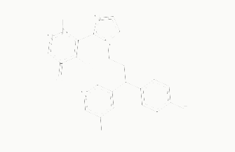 O=c1cn[nH]c(-c2nccn2CCC(c2ccc(F)cc2)c2cncc(F)c2)c1O